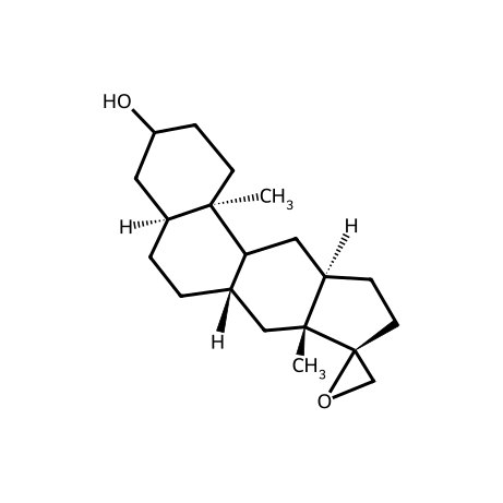 C[C@@]12CCC(O)C[C@@H]1CC[C@H]1C[C@]3(C)[C@H](CC[C@]34CO4)CC12